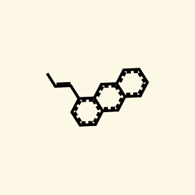 CC=Cc1cccc2cc3ccccc3cc12